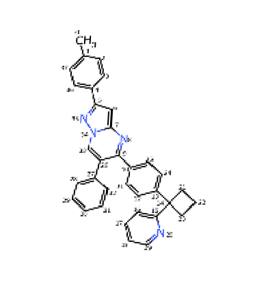 Cc1ccc(-c2cc3nc(-c4ccc(C5(c6ccccn6)CCC5)cc4)c(-c4ccccc4)cn3n2)cc1